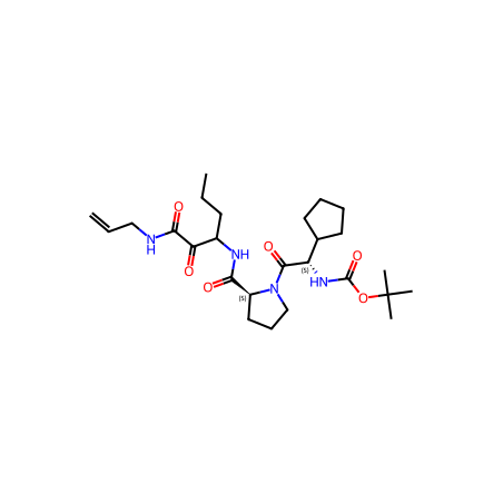 C=CCNC(=O)C(=O)C(CCC)NC(=O)[C@@H]1CCCN1C(=O)[C@@H](NC(=O)OC(C)(C)C)C1CCCC1